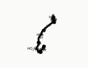 O=C(CCCn1cc(COCCOCCOCCOc2cccc3c2C(=O)N(C2CCC(=O)NC2=O)C3=O)nn1)NCCNCC#Cc1ccc(OCCCc2sc(N3CCc4cccc(C(=O)Nc5nc6ccccc6s5)c4C3)nc2C(=O)O)c(F)c1